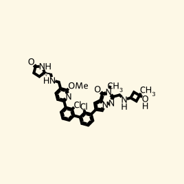 COc1nc(-c2cccc(-c3cccc(-c4cc5c(=O)n(C)c(CNC6CC(C)(O)C6)nn5c4)c3Cl)c2Cl)ccc1CNC[C@H]1CCC(=O)N1